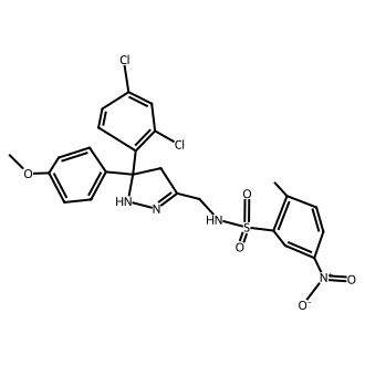 COc1ccc(C2(c3ccc(Cl)cc3Cl)CC(CNS(=O)(=O)c3cc([N+](=O)[O-])ccc3C)=NN2)cc1